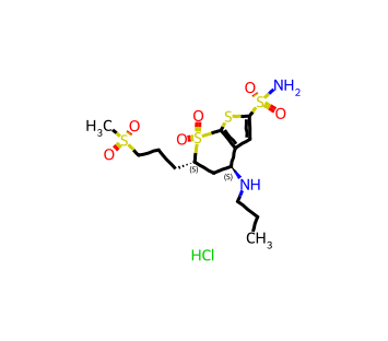 CCCN[C@H]1C[C@H](CCCS(C)(=O)=O)S(=O)(=O)c2sc(S(N)(=O)=O)cc21.Cl